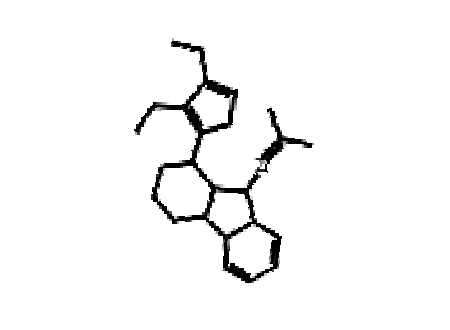 CCC1=CCC(C2CCCC3C4C=CC=CC4[CH]([Zr]=[C](C)C)C23)=C1CC